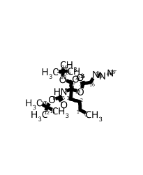 CCCCC(NC(=O)OC(C)(C)C)(OC(=O)CN=[N+]=[N-])C(=O)OC(C)(C)C